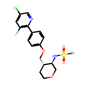 CCS(=O)(=O)N[C@H]1COCC[C@@H]1COc1ccc(-c2ncc(Cl)cc2F)cc1